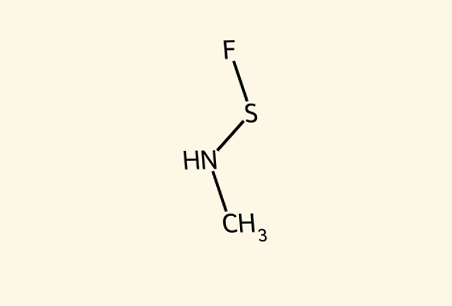 CNSF